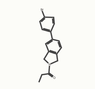 CCC(=O)N1Cc2ccc(-c3ccc(Br)cc3)cc2C1